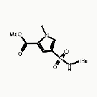 COC(=O)c1cc(S(=O)(=O)NC(C)(C)C)cn1C